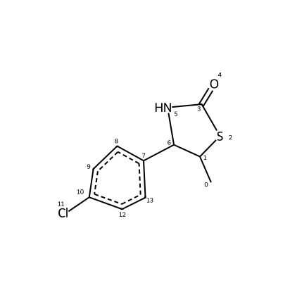 CC1SC(=O)NC1c1ccc(Cl)cc1